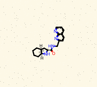 O=C(NCc1ccc2cccnc2n1)[C@@H]1C[C@@H]2CCCC[C@@H]2N1